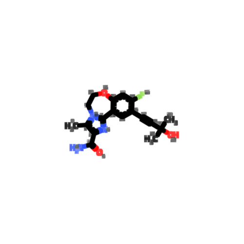 Cc1c(C(N)=O)nc2n1CCOc1cc(F)c(C#CC(C)(C)O)cc1-2